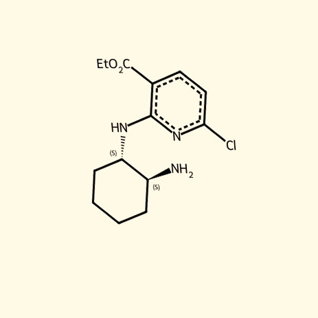 CCOC(=O)c1ccc(Cl)nc1N[C@H]1CCCC[C@@H]1N